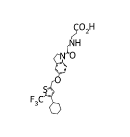 O=C(O)CCNCC(=O)N1CCc2cc(OCc3cc(C4CCCCC4)c(C(F)(F)F)s3)ccc21